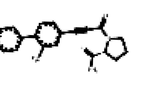 NC(=O)[C@@H]1CCCN1C(=O)C#Cc1ccc(-c2ccccc2)c(C(F)(F)F)c1